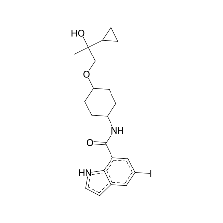 CC(O)(COC1CCC(NC(=O)c2cc(I)cc3cc[nH]c23)CC1)C1CC1